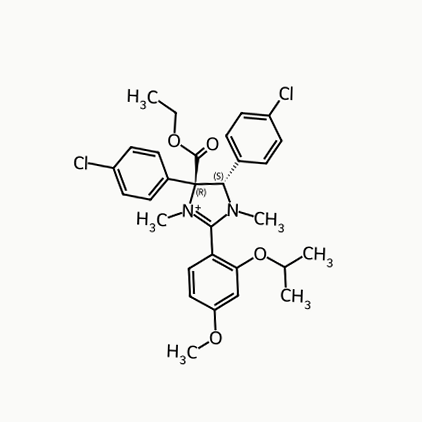 CCOC(=O)[C@@]1(c2ccc(Cl)cc2)[C@H](c2ccc(Cl)cc2)N(C)C(c2ccc(OC)cc2OC(C)C)=[N+]1C